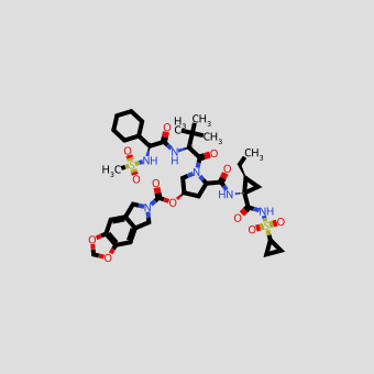 CC[C@H]1C[C@@]1(NC(=O)C1C[C@@H](OC(=O)N2Cc3cc4c(cc3C2)OCO4)CN1C(=O)[C@@H](NC(=O)[C@@H](NS(C)(=O)=O)C1CCCCC1)C(C)(C)C)C(=O)NS(=O)(=O)C1CC1